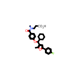 Cc1oc(-c2ccc(F)cc2)cc1C(Oc1ccc(C(=O)N(C)CCC(=O)O)cc1)C1CCCCC1